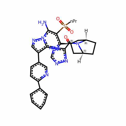 CCCS(=O)(=O)c1c([C@H]2C[C@H]3CC[C@@H](C2)N3C(=O)c2nnc[nH]2)nc2c(-c3ccc(-c4ccccc4)nc3)cnn2c1N